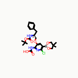 CC1(C)COB(c2cc(OC[C@H](Cc3ccccc3)NC(=O)OC(C)(C)C)c(NC(=O)O)nc2Cl)OC1